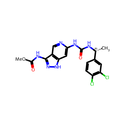 COC(=O)Nc1n[nH]c2cc(NC(=O)N[C@H](C)c3ccc(Cl)c(Cl)c3)ncc12